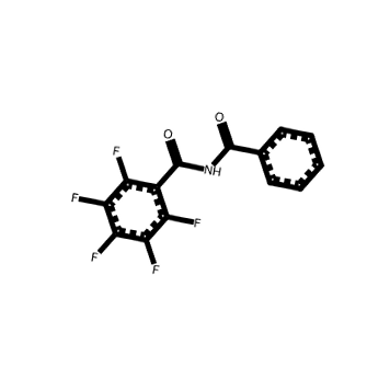 O=C(NC(=O)c1c(F)c(F)c(F)c(F)c1F)c1ccccc1